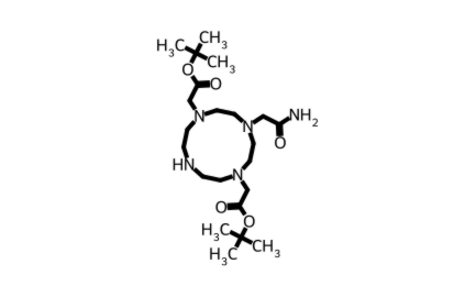 CC(C)(C)OC(=O)CN1CCNCCN(CC(=O)OC(C)(C)C)CCN(CC(N)=O)CC1